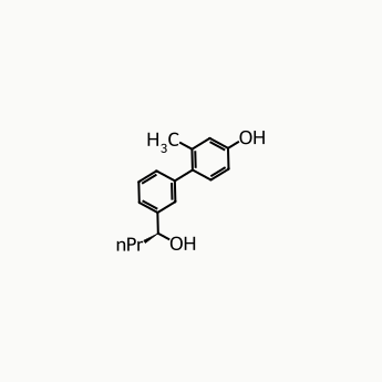 CCC[C@H](O)c1cccc(-c2ccc(O)cc2C)c1